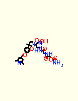 Cc1cc(COc2ccc(C3(C)CCN(C(CCNC(=O)CNC(=O)COC(N)=O)C(=O)NO)C3=O)cc2)cc(C)n1